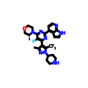 Cc1nn(C2CCNCC2)c(C(F)(F)F)c1-c1nc(-c2ccnc3[nH]ccc23)nc(N2CCOC[C@H]2C)c1F